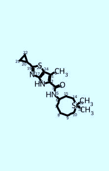 Cc1c(C(=O)NC2CCCC[Si](C)(C)CC2)[nH]c2nc(C3CC3)sc12